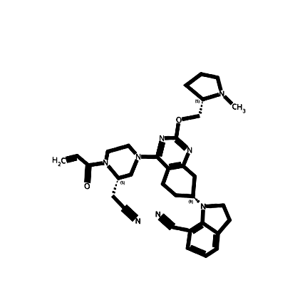 C=CC(=O)N1CCN(c2nc(OC[C@@H]3CCCN3C)nc3c2CC[C@@H](N2CCc4cccc(C#N)c42)C3)C[C@@H]1CC#N